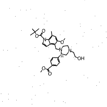 COC(=O)c1ccc([C@@H]2CN(CCO)CCN2Cc2c(OC)cc(C)c3c2ccn3C(=O)OC(C)(C)C)cc1